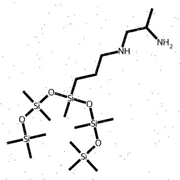 CC(N)CNCCC[Si](C)(O[Si](C)(C)O[Si](C)(C)C)O[Si](C)(C)O[Si](C)(C)C